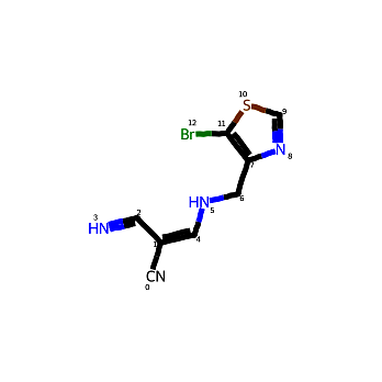 N#C/C(C=N)=C/NCc1ncsc1Br